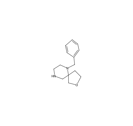 c1ccc(CN2CCNCC23CCOC3)cc1